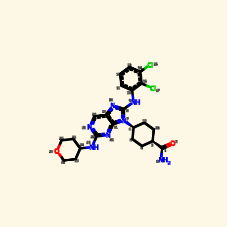 NC(=O)[C@H]1CC[C@@H](n2c(Nc3cccc(Cl)c3Cl)nc3cnc(NC4CCOCC4)nc32)CC1